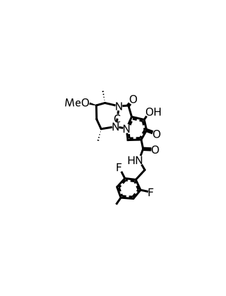 CO[C@@H]1C[C@@H](C)N2CN(C(=O)c3c(O)c(=O)c(C(=O)NCc4c(F)cc(C)cc4F)cn32)[C@H]1C